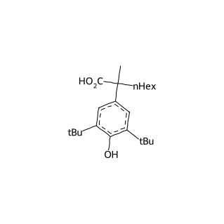 CCCCCCC(C)(C(=O)O)c1cc(C(C)(C)C)c(O)c(C(C)(C)C)c1